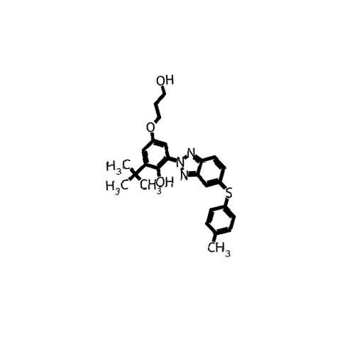 Cc1ccc(Sc2ccc3nn(-c4cc(OCCCO)cc(C(C)(C)C)c4O)nc3c2)cc1